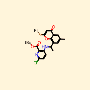 CCSc1cc(=O)c2cc(C)cc(C(C)Nc3ccc(Cl)nc3C(=O)OC(C)(C)C)c2o1